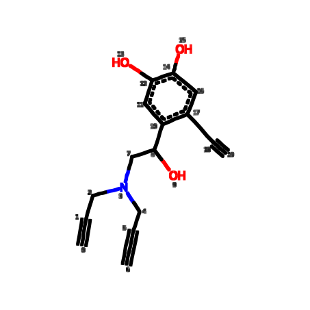 C#CCN(CC#C)CC(O)c1cc(O)c(O)cc1C#C